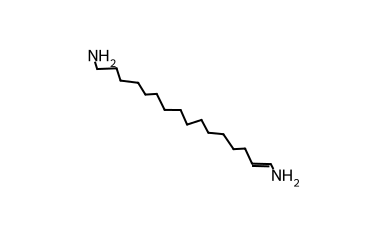 NC=CCCCCCCCCCCCCCCN